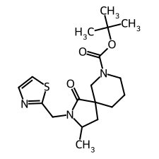 CC1CC2(CCCN(C(=O)OC(C)(C)C)C2)C(=O)N1Cc1nccs1